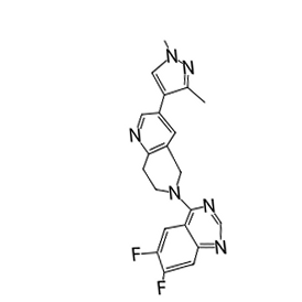 Cc1nn(C)cc1-c1cnc2c(c1)CN(c1ncnc3cc(F)c(F)cc13)CC2